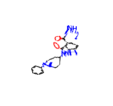 NC(=O)c1cccc2[nH]n(C3CCN(c4ccccc4)CC3)c(=O)c12